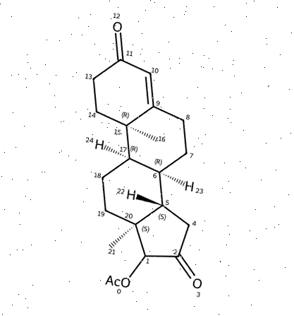 CC(=O)OC1C(=O)C[C@H]2[C@@H]3CCC4=CC(=O)CC[C@]4(C)[C@@H]3CC[C@]12C